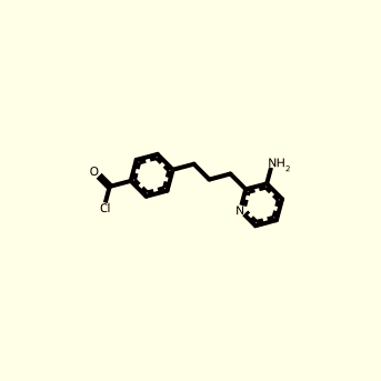 Nc1cccnc1CCCc1ccc(C(=O)Cl)cc1